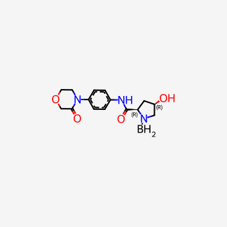 BN1C[C@H](O)C[C@@H]1C(=O)Nc1ccc(N2CCOCC2=O)cc1